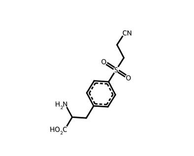 N#CCCS(=O)(=O)c1ccc(CC(N)C(=O)O)cc1